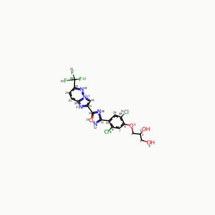 OCC(O)COc1cc(Cl)c(-c2noc(-c3cn4nc(C(F)(F)F)ccc4n3)n2)cc1Cl